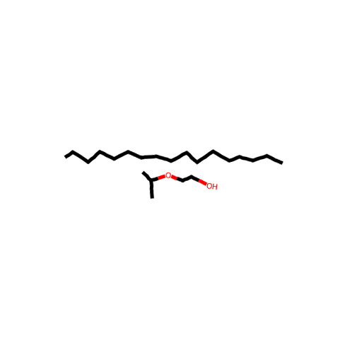 CC(C)OCCO.CCCCCCCCCCCCCCCCC